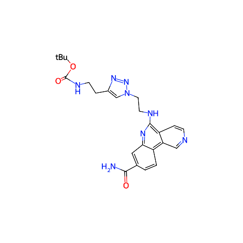 CC(C)(C)OC(=O)NCCc1cn(CCNc2nc3cc(C(N)=O)ccc3c3cnccc23)nn1